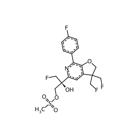 CS(=O)(=O)OC[C@](O)(CF)c1cc2c(c(-c3ccc(F)cc3)n1)OCC2(CF)CF